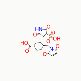 O=C(O)C1CCC(CN2C(=O)C=CC2=O)CC1.O=C1CC(S(=O)(=O)O)C(=O)N1